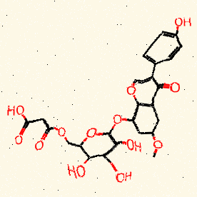 COC1CC(OC2OC(COC(=O)CC(=O)O)C(O)C(O)C2O)C2OC=C(c3ccc(O)cc3)C(=O)C2C1